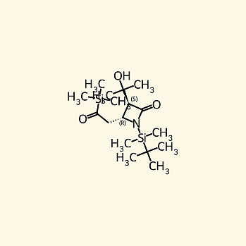 CC(C)(O)[C@H]1C(=O)N([Si](C)(C)C(C)(C)C)[C@@H]1CC(=O)[Si](C)(C)C